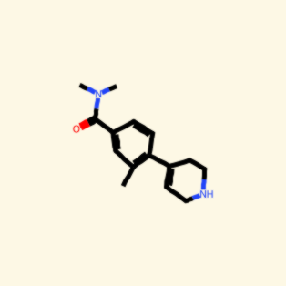 Cc1cc(C(=O)N(C)C)ccc1C1=CCNCC1